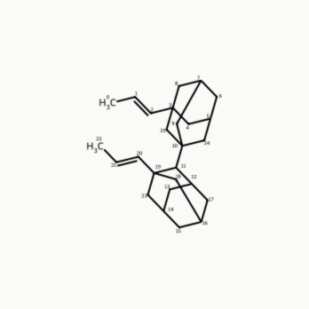 CC=CC12CC3CC(C1)CC(C1C4CC5CC(C4)CC1(C=CC)C5)(C3)C2